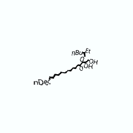 CCCCCCCCCCCCCCCCCCCCCC(=O)C(OCC(CC)CCCC)C(O)CO